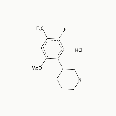 COc1cc(C(F)(F)F)c(F)cc1C1CCCNC1.Cl